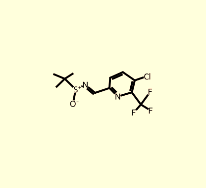 CC(C)(C)[S+]([O-])N=Cc1ccc(Cl)c(C(F)(F)F)n1